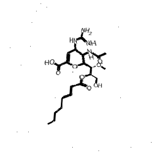 CCCCCCCC(=O)O[C@H](CO)[C@@H](OC)C1OC(C(=O)O)=CC(NC(=N)N)C1NC(C)=O